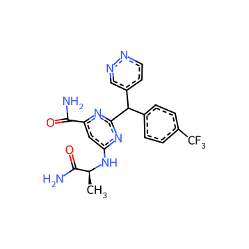 C[C@H](Nc1cc(C(N)=O)nc(C(c2ccc(C(F)(F)F)cc2)c2ccnnc2)n1)C(N)=O